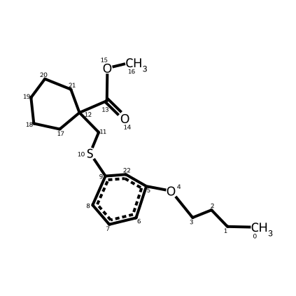 CCCCOc1cccc(SCC2(C(=O)OC)CCCCC2)c1